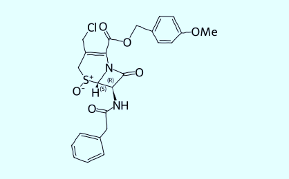 COc1ccc(COC(=O)C2=C(CCl)C[S+]([O-])[C@H]3[C@H](NC(=O)Cc4ccccc4)C(=O)N23)cc1